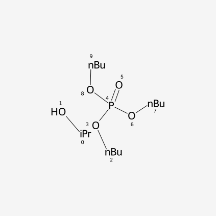 CC(C)O.CCCCOP(=O)(OCCCC)OCCCC